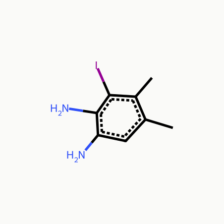 Cc1cc(N)c(N)c(I)c1C